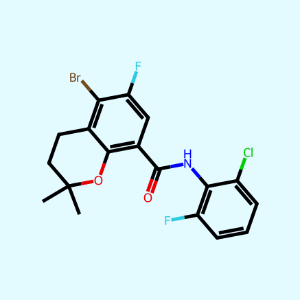 CC1(C)CCc2c(Br)c(F)cc(C(=O)Nc3c(F)cccc3Cl)c2O1